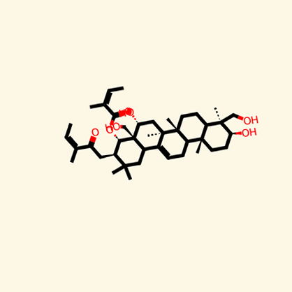 C/C=C(/C)C(=O)C[C@H]1[C@H](OC(=O)/C(C)=C\C)[C@@]2(CO)C(CC1(C)C)C1=CCC3[C@@]4(C)CC[C@H](O)[C@](C)(CO)C4CC[C@@]3(C)[C@]1(C)C[C@H]2O